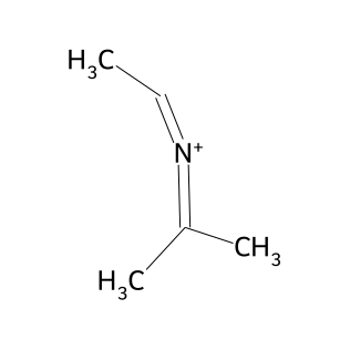 CC=[N+]=C(C)C